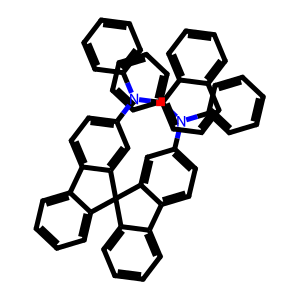 c1ccc(N(c2ccccc2)c2ccc3c(c2)C2(c4ccccc4-3)c3ccccc3-c3ccc(N(c4ccccc4)c4cccc5ccccc45)cc32)cc1